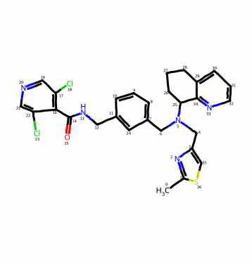 Cc1nc(CN(Cc2cccc(CNC(=O)c3c(Cl)cncc3Cl)c2)C2CCCc3cccnc32)cs1